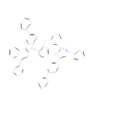 c1ccc(-c2ccc(-c3nc(-c4cccc5oc6c(-n7c8ccc(-c9ccccc9)cc8c8c9ccccc9c(-c9ccccc9)cc87)cccc6c45)nc4c3sc3ccccc34)cc2)cc1